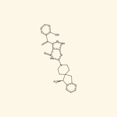 C=C(c1ccccc1O)c1n[nH]c2nc(N3CCC4(CC3)Cc3ccccc3[C@H]4N)[nH]c(=O)c12